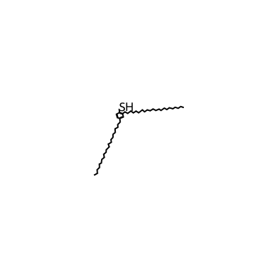 CCCCCCCCCCCCCCCCCCCCCCc1ccc(CS)c(CCCCCCCCCCCCCCCCCCCCCC)c1